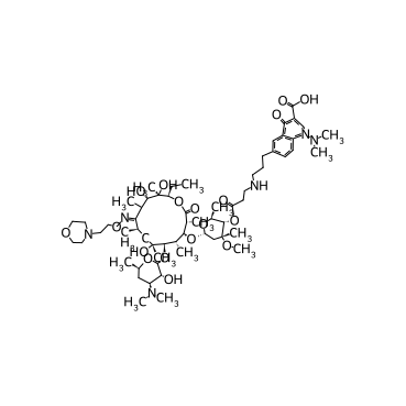 CC[C@H]1OC(=O)[C@H](C)[C@@H](O[C@H]2C[C@@](C)(OC)[C@@H](OC(=O)CCNCCCc3ccc4c(c3)c(=O)c(C(=O)O)cn4N(C)C)[C@H](C)O2)[C@H](C)[C@@H](O[C@@H]2O[C@H](C)C[C@H](N(C)C)[C@H]2O)[C@](C)(O)C[C@@H](C)/C(=N\OCCN2CCOCC2)C(C)[C@@H](O)[C@]1(C)O